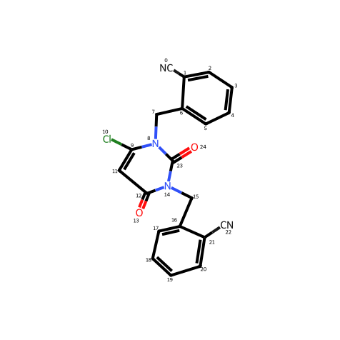 N#Cc1ccccc1Cn1c(Cl)cc(=O)n(Cc2ccccc2C#N)c1=O